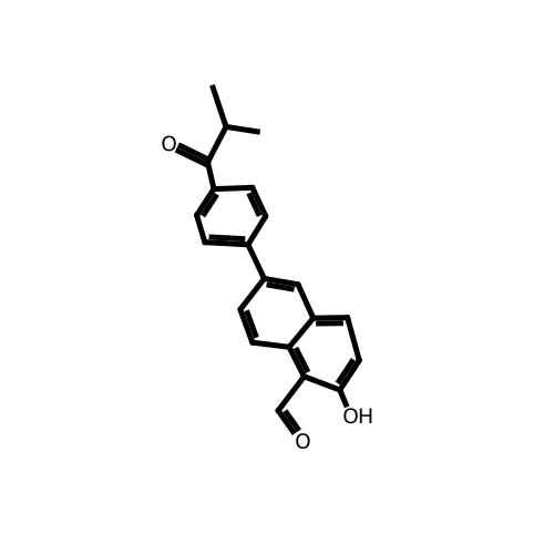 CC(C)C(=O)c1ccc(-c2ccc3c(C=O)c(O)ccc3c2)cc1